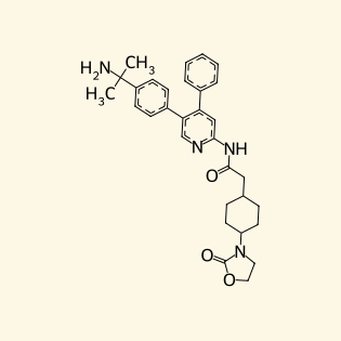 CC(C)(N)c1ccc(-c2cnc(NC(=O)CC3CCC(N4CCOC4=O)CC3)cc2-c2ccccc2)cc1